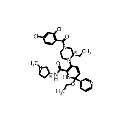 CCOC1(c2cccnc2)C=CC(N2CCN(C(=O)c3ccc(Cl)cc3Cl)C[C@H]2CC)=C(C(=O)N[C@@H]2CCN(C)C2)N1